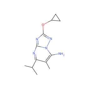 Cc1c(C(C)C)nc2nc(OC3CC3)nn2c1N